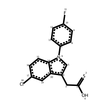 OC(=S)Cc1cn(-c2ccc(F)cc2)c2ccc(Cl)cc12